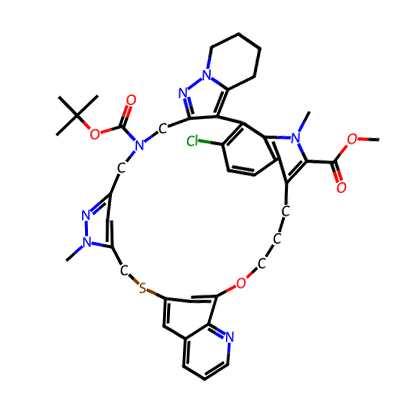 COC(=O)c1c2c3ccc(Cl)c(c3n1C)-c1c(nn3c1CCCC3)CN(C(=O)OC(C)(C)C)Cc1cc(n(C)n1)CSc1cc(c3ncccc3c1)OCCC2